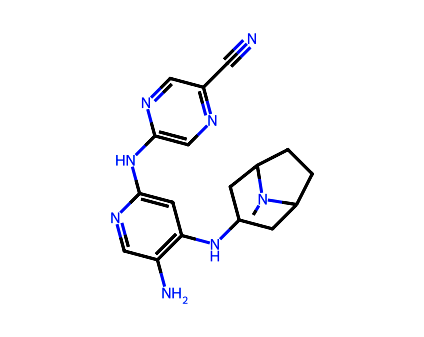 CN1C2CCC1CC(Nc1cc(Nc3cnc(C#N)cn3)ncc1N)C2